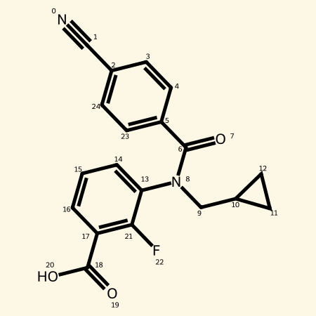 N#Cc1ccc(C(=O)N(CC2CC2)c2cccc(C(=O)O)c2F)cc1